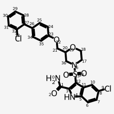 NC(=O)c1[nH]c2ccc(Cl)cc2c1S(=O)(=O)N1CCOC(COc2ccc(-c3ccccc3Cl)cc2)C1